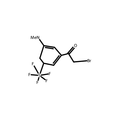 CNC1=CC(C(=O)CBr)=CC(S(F)(F)(F)(F)F)C1